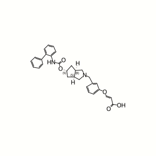 O=C(O)C=COc1cccc(CN2C[C@H]3C[C@H](OC(=O)Nc4ccccc4-c4ccccc4)C[C@H]3C2)c1